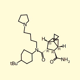 CC(C)(C)C1CCC(N(CCCCN2CCCC2)C(=O)[C@H]2[C@H](C(N)=O)[C@H]3C=C[C@@H]2C32CC2)CC1